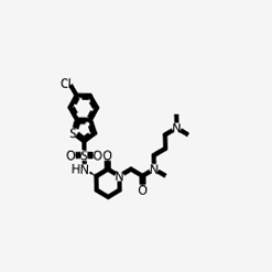 CN(C)CCCN(C)C(=O)CN1CCC[C@H](NS(=O)(=O)c2cc3ccc(Cl)cc3s2)C1=O